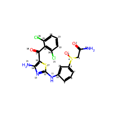 NC(=O)C[S+]([O-])c1cccc(Nc2nc(N)c(C(=O)c3c(Cl)cccc3Cl)s2)c1